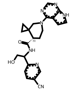 N#Cc1ccc(C(CO)NC(=O)[C@H]2CCN(c3ncnc4[nH]ccc34)CC23CC3)nc1